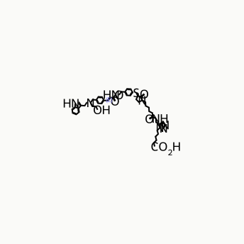 O=C(O)CCCCCn1nncc1CNC(=O)CCCCCN1CCC(Sc2ccc(CONC(=O)/C=C/c3ccc(CN(CCO)CCc4c[nH]c5ccccc45)cc3)cc2)C1=O